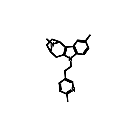 Cc1ccc2c(c1)c1c(n2CCc2ccc(C)nc2)CC2CCC1N2C